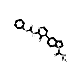 CNC(=O)n1ccc2cc(C3C=CN=C(NC(=O)Oc4ccccc4)C3=O)ccc21